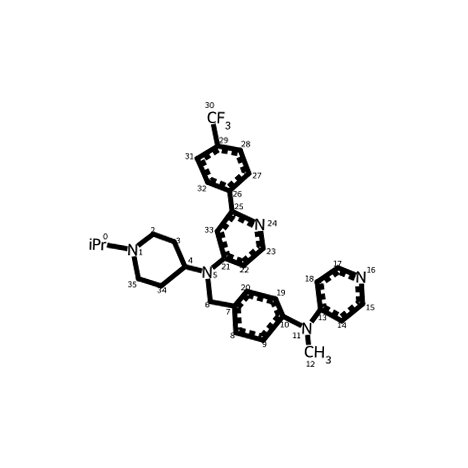 CC(C)N1CCC(N(Cc2ccc(N(C)c3ccncc3)cc2)c2ccnc(-c3ccc(C(F)(F)F)cc3)c2)CC1